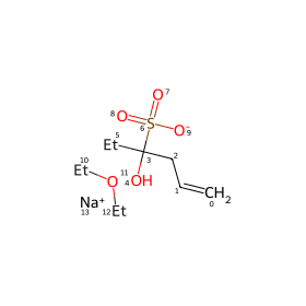 C=CCC(O)(CC)S(=O)(=O)[O-].CCOCC.[Na+]